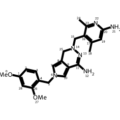 COc1ccc(Cn2cc3c(c2)C(N)=NN(Cc2c(C)cc(N)nc2C)C3)c(OC)c1